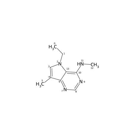 CCn1cc(C)c2ncnc(NC)c21